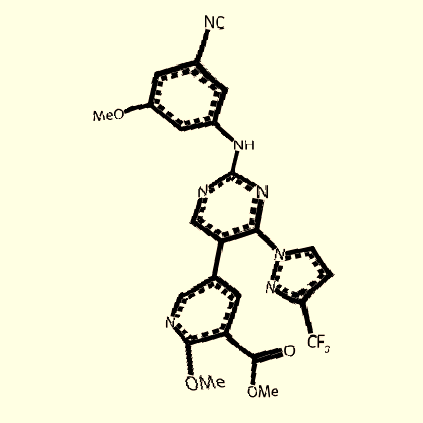 [C-]#[N+]c1cc(Nc2ncc(-c3cnc(OC)c(C(=O)OC)c3)c(-n3ccc(C(F)(F)F)n3)n2)cc(OC)c1